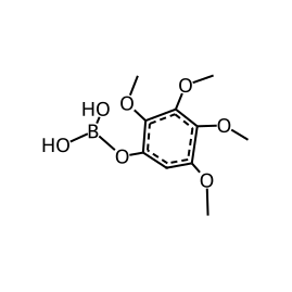 COc1cc(OB(O)O)c(OC)c(OC)c1OC